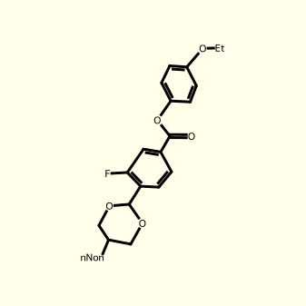 CCCCCCCCCC1COC(c2ccc(C(=O)Oc3ccc(OCC)cc3)cc2F)OC1